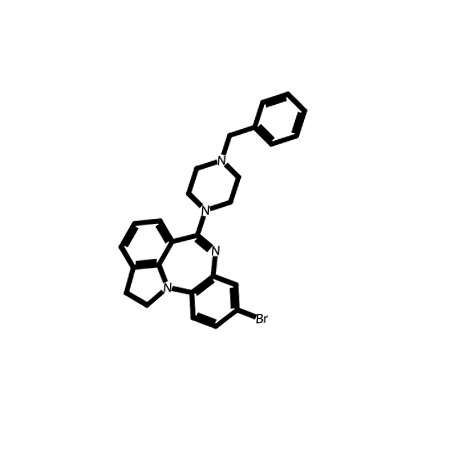 Brc1ccc2c(c1)N=C(N1CCN(Cc3ccccc3)CC1)c1cccc3c1N2CC3